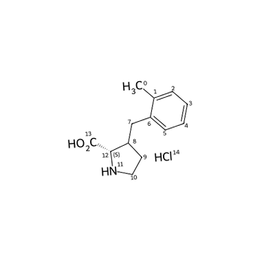 Cc1ccccc1CC1CCN[C@@H]1C(=O)O.Cl